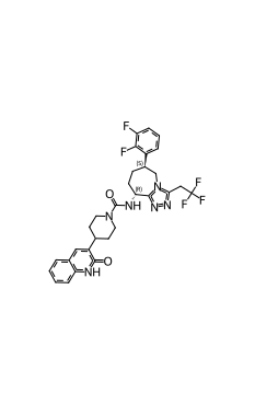 O=C(N[C@@H]1CC[C@@H](c2cccc(F)c2F)Cn2c(CC(F)(F)F)nnc21)N1CCC(c2cc3ccccc3[nH]c2=O)CC1